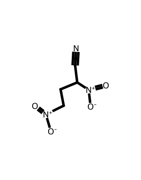 N#CC(CC[N+](=O)[O-])[N+](=O)[O-]